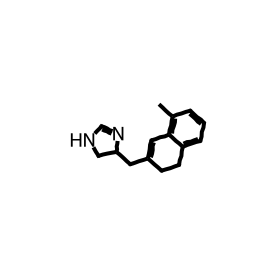 Cc1cccc2c1C=C(CC1CNC=N1)CC2